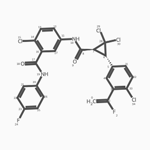 C=C(F)c1cc([C@@H]2[C@@H](C(=O)Nc3ccc(Cl)c(C(=O)Nc4ccc(F)cc4)c3)C2(Cl)Cl)ccc1Cl